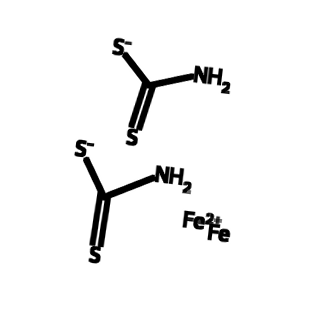 NC(=S)[S-].NC(=S)[S-].[Fe+2].[Fe]